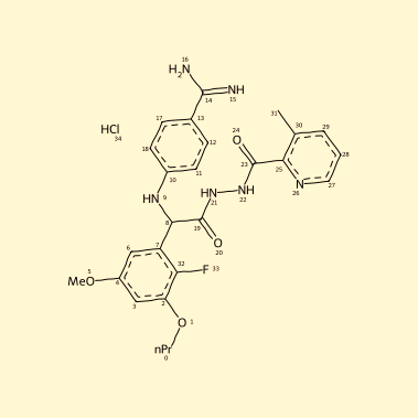 CCCOc1cc(OC)cc(C(Nc2ccc(C(=N)N)cc2)C(=O)NNC(=O)c2ncccc2C)c1F.Cl